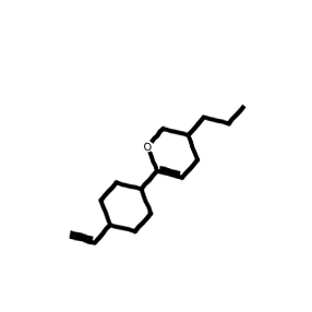 C=CC1CCC(C2=CCC(CCC)CO2)CC1